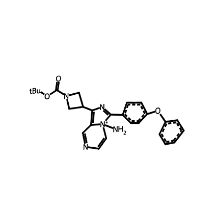 CC(C)(C)OC(=O)N1CC(C2=C3C=NC=C[N+]3(N)C(c3ccc(Oc4ccccc4)cc3)=N2)C1